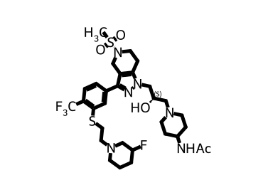 CC(=O)NC1CCN(C[C@H](O)Cn2nc(-c3ccc(C(F)(F)F)c(SCCN4CCCC(F)C4)c3)c3c2CCN(S(C)(=O)=O)C3)CC1